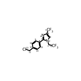 FC(F)(F)Cn1cc(C(F)(F)F)nc1-c1ccc(CCl)cc1